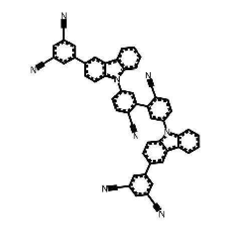 N#Cc1cc(C#N)cc(-c2ccc3c(c2)c2ccccc2n3-c2ccc(C#N)c(-c3cc(-n4c5ccccc5c5cc(-c6cc(C#N)cc(C#N)c6)ccc54)ccc3C#N)c2)c1